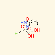 Cc1cn([C@@]2(CCCCF)C[C@H](O)[C@@H](CO)O2)c(=O)[nH]c1=O